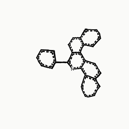 c1ccc(-c2nc3c4ccccc4ccc3c3c2ccc2ccccc23)cc1